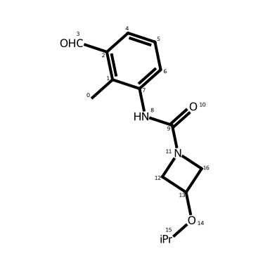 Cc1c(C=O)cccc1NC(=O)N1CC(OC(C)C)C1